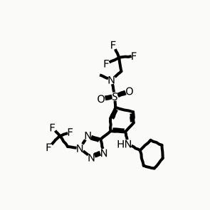 CN(CC(F)(F)F)S(=O)(=O)c1ccc(NC2CCCCC2)c(-c2nnn(CC(F)(F)F)n2)c1